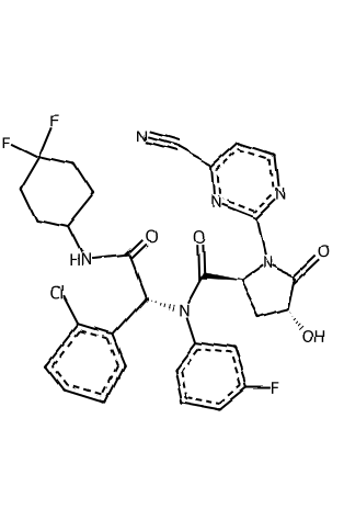 N#Cc1ccnc(N2C(=O)[C@H](O)C[C@H]2C(=O)N(c2cccc(F)c2)[C@@H](C(=O)NC2CCC(F)(F)CC2)c2ccccc2Cl)n1